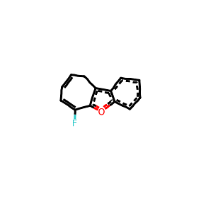 FC1=CC=CCc2c1oc1ccccc21